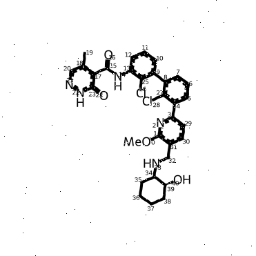 COc1nc(-c2cccc(-c3cccc(NC(=O)c4c(C)cn[nH]c4=O)c3Cl)c2Cl)ccc1CNC1CCCC[C@@H]1O